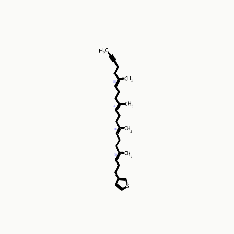 CC#CCC/C(C)=C/CC/C(C)=C/CC/C(C)=C/CC/C(C)=C/CCc1ccsc1